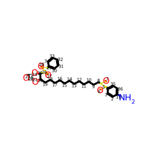 Nc1ccc(S(=O)(=O)CCCCCCCCCCCCC2[O][Ti](=[O])[O]C2S(=O)(=O)c2ccccc2)cc1